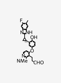 CNc1nccc(Oc2ccc(O)c([C@H]3CC3c3nc4cc(F)c(C)cc4[nH]3)c2)c1CCC=O